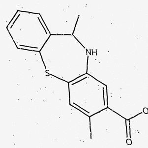 Cc1cc2c(cc1C(=O)O)NC(C)c1ccccc1S2